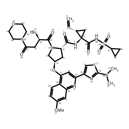 C=C[C@@H]1C[C@]1(NC(=O)[C@@H]1C[C@@H](Oc2cc(-c3csc(N(C)C)n3)nc3cc(OC)ccc23)CN1C(=O)[C@@H](CC(=O)N1CCOCC1)C(C)(C)C)C(=O)NS(=O)(=O)C1CC1